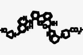 O=C(Nc1cccc(-c2cccc(Nc3nccc4cc(CN5CC[C@H](O)C5)cnc34)c2Cl)c1Cl)c1cc2n(n1)CCC[C@H]2N1CCC(C(=O)O)CC1